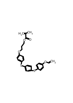 C=COc1ccc(Sc2ccc(Sc3ccc(OCCCOC(=O)C(=C)C)cc3)cc2)cc1